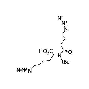 CC(C)(C)N(C(=O)CCCN=[N+]=[N-])C(CCCCN=[N+]=[N-])C(=O)O